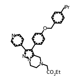 CCOC(=O)CN1CCn2nc(-c3ccncc3)c(-c3ccc(OCc4ccc(C(C)C)cc4)cc3)c2C1